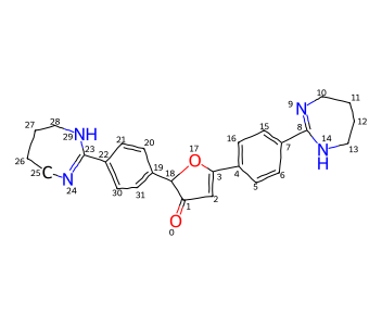 O=C1C=C(c2ccc(C3=NCCCCN3)cc2)OC1c1ccc(C2=NCCCCN2)cc1